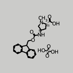 CN1C[C@H](NC(=O)OCC2c3ccccc3-c3ccccc32)C[C@H]1C(=O)O.O=S(=O)(O)O